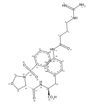 N=C(N)NCCCC(=O)Nc1ccc(C[C@H](NC(=O)[C@@H]2COCN2S(=O)(=O)c2ccccc2)C(=O)O)cc1